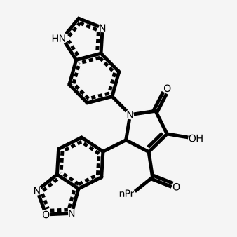 CCCC(=O)C1=C(O)C(=O)N(c2ccc3[nH]cnc3c2)C1c1ccc2nonc2c1